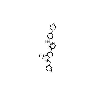 Nc1cc(-c2ccnc(Nc3ccc(N4CCOCC4)cc3)n2)ccc1NCc1cccnc1